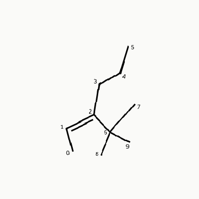 CC=C(CCC)C(C)(C)C